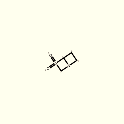 O=S1(=O)CN2CCC21